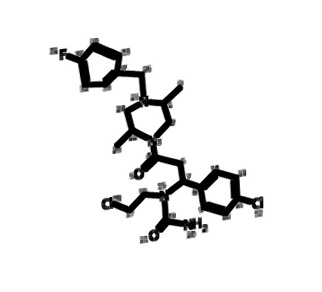 CC1CN(C(=O)CC(c2ccc(Cl)cc2)N(CCCl)C(N)=O)C(C)CN1Cc1ccc(F)cc1